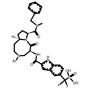 CC(=O)N1CC[C@H]2CC[C@@H](C(=O)N(C)Cc3ccccc3)N2C(=O)[C@@H](NC(=O)c2cc3cc(C(F)(F)P(=O)(O)O)ccc3[nH]2)C1